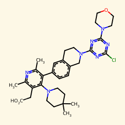 Cc1nc(C)c(-c2ccc3c(c2)CCN(c2nc(Cl)nc(N4CCOCC4)n2)C3)c(N2CCC(C)(C)CC2)c1CC(=O)O